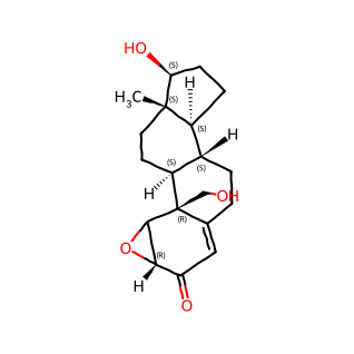 C[C@]12CC[C@H]3[C@@H](CCC4=CC(=O)[C@@H]5OC5[C@@]43CO)[C@@H]1CC[C@@H]2O